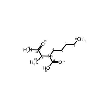 CCCCCN(C(=O)O)C(C)C(N)=O